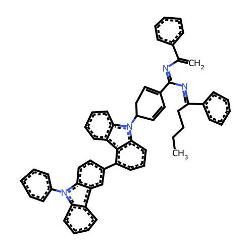 C=C(/N=C(\N=C(/CCCC)c1ccccc1)C1=CCC(n2c3ccccc3c3c(-c4ccc5c(c4)c4ccccc4n5-c4ccccc4)cccc32)C=C1)c1ccccc1